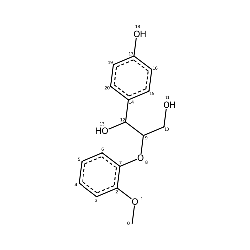 COc1ccccc1OC(CO)C(O)c1ccc(O)cc1